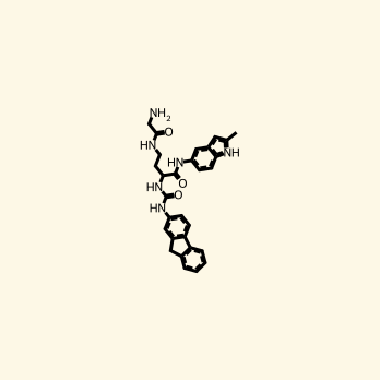 Cc1cc2cc(NC(=O)C(CCNC(=O)CN)NC(=O)Nc3ccc4c(c3)Cc3ccccc3-4)ccc2[nH]1